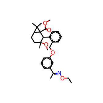 CCON=C(C)c1cccc(OCc2ccccc2C2C(C)(OC)CCC3C(C)(C)C23C(=O)OC)c1